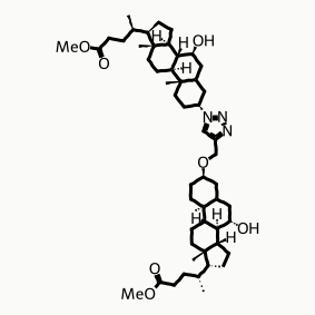 COC(=O)CC[C@@H](C)[C@H]1CC[C@H]2[C@@H]3[C@@H](O)CC4C[C@H](OCc5cn([C@@H]6CC[C@@]7(C)C(C6)C[C@H](O)[C@H]6[C@@H]8CC[C@H]([C@H](C)CCC(=O)OC)[C@@]8(C)CC[C@@H]67)nn5)CC[C@]4(C)[C@H]3CC[C@@]12C